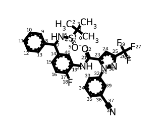 CC(C)(C)[S@@+]([O-])NC(c1ccccc1)c1ccc(F)c(NC(=O)c2cc(C(F)(F)F)nn2-c2cccc(C#N)c2)c1